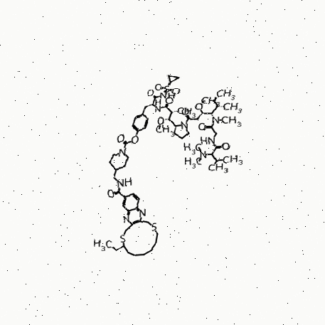 CCC1CCCCCCSCc2nc3ccc(C(=O)NCC4CCN(C(=O)Oc5ccc(C[C@H](NC(=O)[C@H](C)[C@@H](OC)[C@@H]6CCCN6C(=O)C[C@@H](OC)[C@H]([C@@H](C)CC)N(C)C(=O)CNC(=O)C(C(C)C)N(C)C)C(=O)NS(=O)(=O)C6CC6)cc5)CC4)cc3nc2CS1